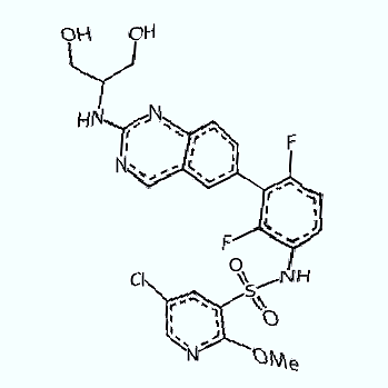 COc1ncc(Cl)cc1S(=O)(=O)Nc1ccc(F)c(-c2ccc3nc(NC(CO)CO)ncc3c2)c1F